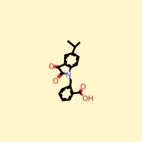 CC(C)c1ccc2c(c1)C(=O)C(=O)N2Cc1ccccc1C(=O)O